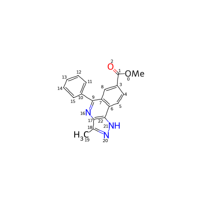 COC(=O)c1ccc2c(c1)c(-c1ccccc1)nc1c(C)n[nH]c12